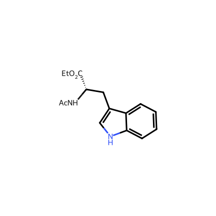 CCOC(=O)[C@H](Cc1c[nH]c2ccccc12)NC(C)=O